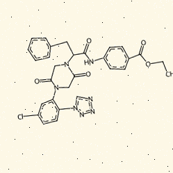 CCOC(=O)c1ccc(NC(=O)C(Cc2ccccc2)N2CC(=O)N(c3cc(Cl)ccc3-n3cnnn3)CC2=O)cc1